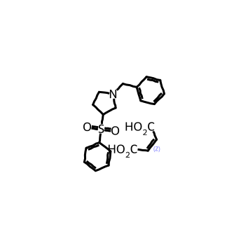 O=C(O)/C=C\C(=O)O.O=S(=O)(c1ccccc1)C1CCN(Cc2ccccc2)C1